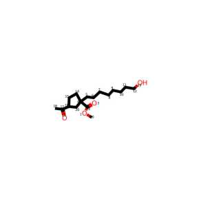 COC(=O)C1(CCCCCCCCO)CCC(C(C)=O)C1